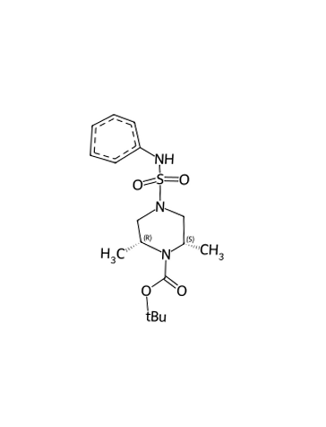 C[C@@H]1CN(S(=O)(=O)Nc2ccccc2)C[C@H](C)N1C(=O)OC(C)(C)C